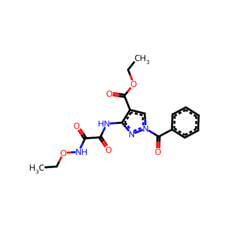 CCONC(=O)C(=O)Nc1nn(C(=O)c2ccccc2)cc1C(=O)OCC